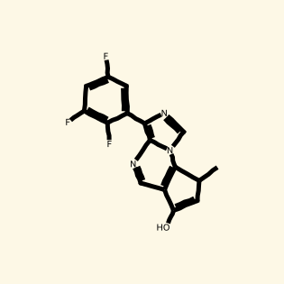 CC1C=C(O)c2cnc3c(-c4cc(F)cc(F)c4F)ncn3c21